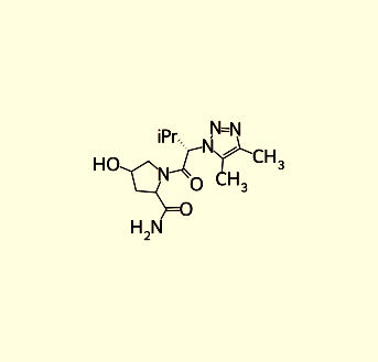 Cc1nnn([C@H](C(=O)N2CC(O)CC2C(N)=O)C(C)C)c1C